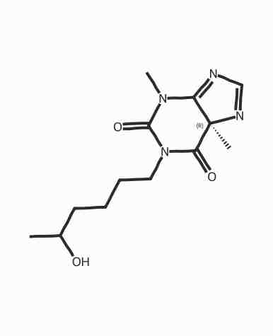 CC(O)CCCCN1C(=O)N(C)C2=NC=N[C@@]2(C)C1=O